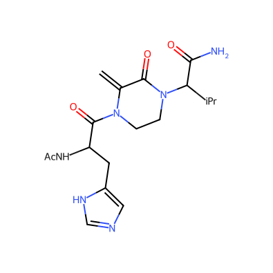 C=C1C(=O)N(C(C(N)=O)C(C)C)CCN1C(=O)C(Cc1cnc[nH]1)NC(C)=O